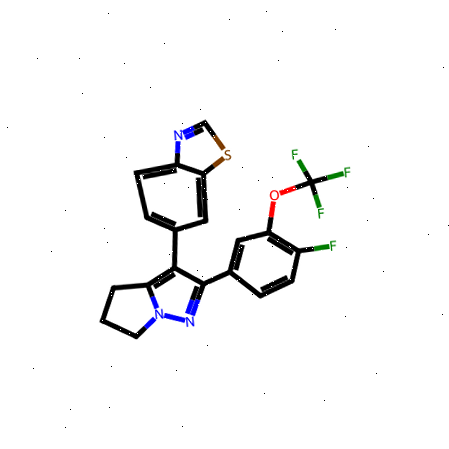 Fc1ccc(-c2nn3c(c2-c2ccc4ncsc4c2)CCC3)cc1OC(F)(F)F